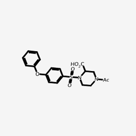 CC(=O)N1CCN(S(=O)(=O)c2ccc(Oc3ccccc3)cc2)C(C(=O)O)C1